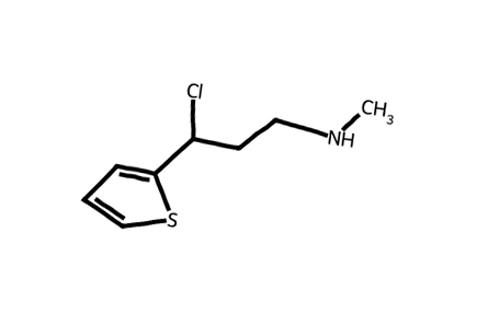 CNCCC(Cl)c1cccs1